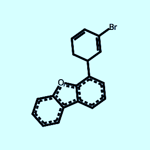 BrC1=CC(c2cccc3c2oc2ccccc23)CC=C1